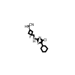 N#CN[C@H]1C[C@@](F)(CNc2nc(Cl)c(C3CCCCC3)s2)C1